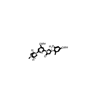 COc1cc(N2C[C@@H](c3c(C)cc(OC)cc3P)CC2=O)nc(N2C[C@@H]3C[C@H]2CN3C)c1